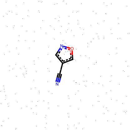 N#Cc1[c]onc1